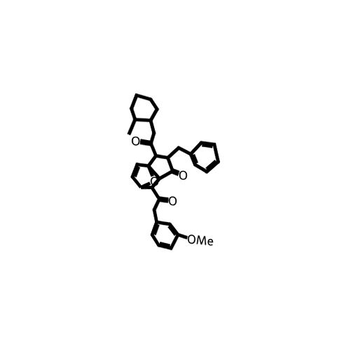 COc1cccc(CC(=O)C2C3C=CC4(O3)C(C(=O)CC3CCCCC3C)C(Cc3ccccc3)C(=O)C24)c1